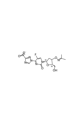 CC(C)=NOC1C[C@H](n2cc(F)c(-n3cnc([N+](=O)[O-])n3)nc2=O)O[C@@H]1CO